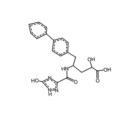 O=C(NC(Cc1ccc(-c2ccccc2)cc1)CC(O)C(=O)O)c1n[nH]c(O)n1